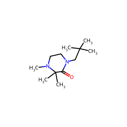 CN1CCN(CC(C)(C)C)C(=O)C1(C)C